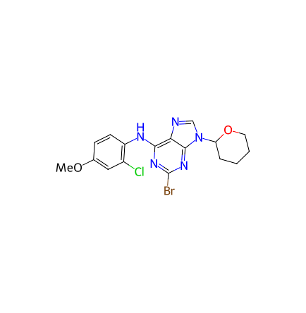 COc1ccc(Nc2nc(Br)nc3c2ncn3C2CCCCO2)c(Cl)c1